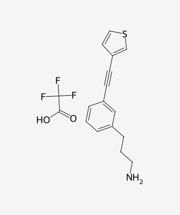 NCCCc1cccc(C#Cc2ccsc2)c1.O=C(O)C(F)(F)F